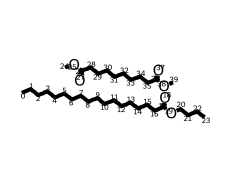 CCCCCCCCCCCCCCCCCC(=O)OCCCC.COC(=O)CCCCCCCCC(=O)OC